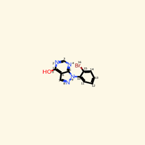 Oc1ncnc2c1cnn2-c1ccccc1Br